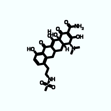 CN(C)[C@@H]1C(O)=C(C(N)=O)C(=O)[C@@]2(O)C(O)=C3C(=O)c4c(O)ccc(CCNS(C)(=O)=O)c4CC3C[C@@H]12